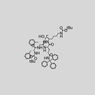 CC(C)(C)OC(=O)NCCCC[C@@H](NC(=O)[C@@H](CCC(=O)NC(c1ccccc1)(c1ccccc1)c1ccccc1)NC(=O)[C@@H](Cc1ccccc1)NC(=O)[C@@H](Cc1ccccc1)NC(=O)OC(C)(C)C)C(=O)O